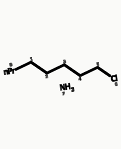 CCCCCCCCCl.N